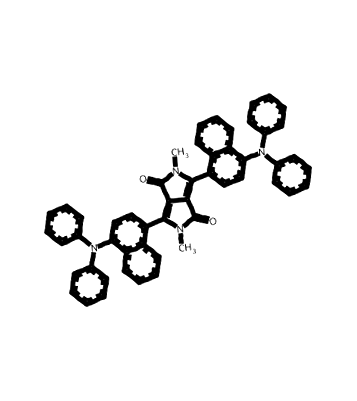 CN1C(=O)C2=C(c3ccc(N(c4ccccc4)c4ccccc4)c4ccccc34)N(C)C(=O)C2=C1c1ccc(N(c2ccccc2)c2ccccc2)c2ccccc12